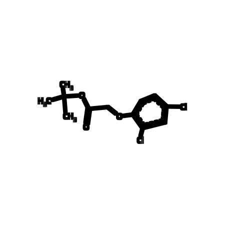 CC(C)(C)OC(=O)COc1ccc(Cl)cc1Cl